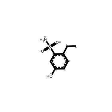 CCc1ccc(O)cc1S(N)(=O)=O